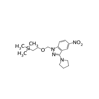 C[Si](C)(C)CCOCn1nc(N2CCCC2)c2cc([N+](=O)[O-])ccc21